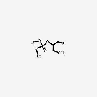 CCOP(=O)(OCC)OC(CBr)CC(Cl)(Cl)Cl